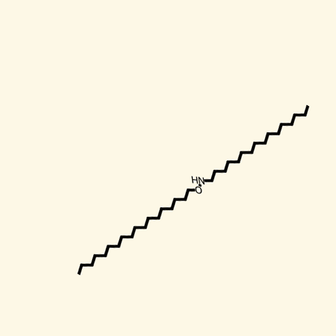 CCCCCCCCCCCCCCCCCCONCCCCCCCCCCCCCCCC